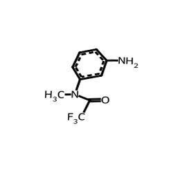 CN(C(=O)C(F)(F)F)c1cccc(N)c1